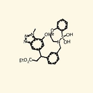 CCOC(=O)CC(c1cccc(CN2CCOc3ccccc3S2(O)O)c1)c1cc(OC)c2c(c1)nnn2C